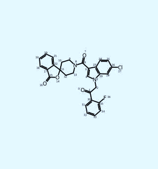 O=C(Cn1cc(C(=O)N2CCC3(CC2)OC(=O)c2ccccc23)c2ccc(Cl)cc21)c1ccccc1F